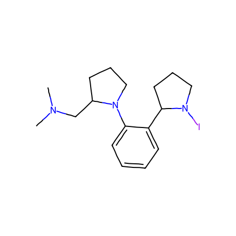 CN(C)CC1CCCN1c1ccccc1C1CCCN1I